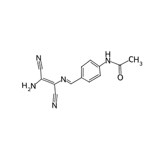 CC(=O)Nc1ccc(/C=N/C(C#N)=C(/N)C#N)cc1